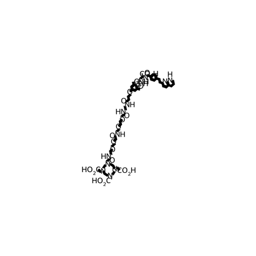 Cc1cc(OCCCC(=O)NCCNC(=O)COCCOCCNC(=O)COCCOCCNC(=O)CN2CCN(CC(=O)O)CCN(CC(=O)O)CCN(CC(=O)O)CC2)cc(C)c1S(=O)(=O)NC[C@H](NC(=O)c1ccc(CCc2ccc3c(n2)NCCC3)cc1)C(=O)O